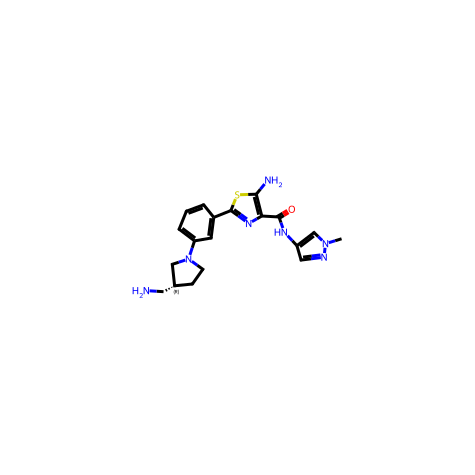 Cn1cc(NC(=O)c2nc(-c3cccc(N4CC[C@H](CN)C4)c3)sc2N)cn1